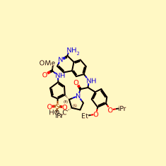 CCOc1cc(C(Nc2ccc3c(N)nccc3c2)C(=O)N2CC[C@H](C(=O)O)[C@@H]2c2cc(NC(=O)OC)ccc2S(=O)(=O)C(C)C)ccc1OC(C)C